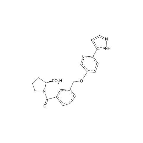 O=C(O)[C@@H]1CCCN1C(=O)c1cccc(COc2ccc(-c3ccn[nH]3)nc2)c1